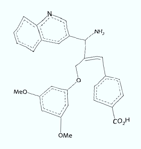 COc1cc(OC)cc(OC/C(=C\c2ccc(C(=O)O)cc2)C(N)c2cnc3ccccc3c2)c1